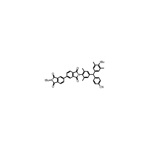 Cc1cc(C(c2ccc(C#N)cc2)c2cc(C)c(C(C)(C)C)c(C)c2)cc(C)c1N1C(=O)c2ccc(-c3ccc4c(c3)C(=O)N(C(C)(C)C)C4=O)cc2C1=O